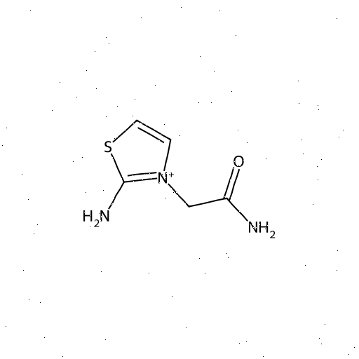 NC(=O)C[n+]1ccsc1N